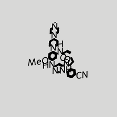 C=CC(=O)Nc1cc(NC2=NCNC(N3OCC[C@@H]3c3cccc(C#N)c3)=C2)c(OC)cc1N1CCC(N2CCN(C)CC2)CC1